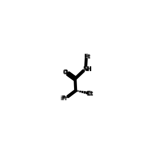 CCNC(=O)[C@H](CC)C(C)C